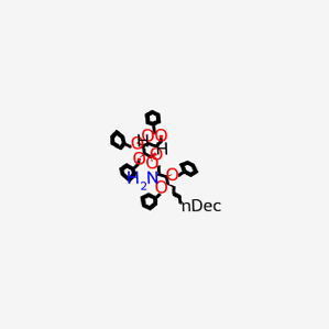 CCCCCCCCCCCC=CC[C@@H](OCc1ccccc1)[C@@H](OCc1ccccc1)[C@@H](N)CO[C@H]1O[C@@H]2COC(c3ccccc3)O[C@@H]2[C@H](OCc2ccccc2)[C@H]1OCc1ccccc1